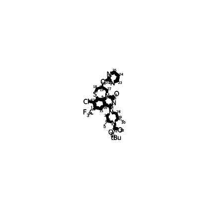 C[C@@H]1CN(c2nc(=O)n3c4c(c(Cl)c(C(F)(F)F)cc24)SC[C@@H](Oc2ncccn2)C3)C[C@H](C)N1C(=O)OC(C)(C)C